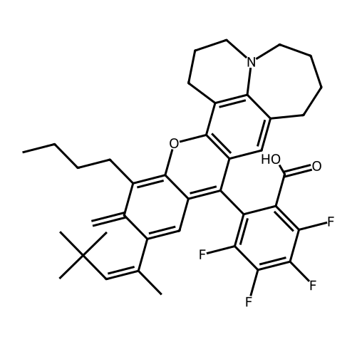 C=c1c(/C(C)=C\C(C)(C)C)cc2c(c1CCCC)Oc1c(cc3c4c1CCCN4CCCC3)C=2c1c(F)c(F)c(F)c(F)c1C(=O)O